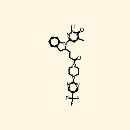 Cc1cc(N2c3ccccc3CC2CCC(=O)N2CCN(c3ncc(C(F)(F)F)cn3)CC2)n[nH]c1=O